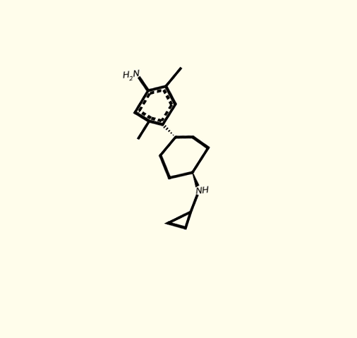 Cc1cc([C@H]2CC[C@H](NC3CC3)CC2)c(C)cc1N